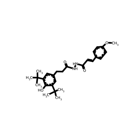 COc1ccc(C=CC(=O)NNC(=O)CCc2cc(C(C)(C)C)c(O)c(C(C)(C)C)c2)cc1